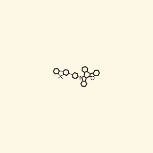 CC1(C)c2ccccc2-c2ccc(-c3ccc(-n4c5ccccc5c5c6oc7ccccc7c6c6ccccc6c54)cc3)cc21